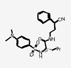 CC(C)C[C@H](NS(=O)(=O)c1ccc(N(C)C)cc1)C(=O)NCCC(C#N)c1ccccc1